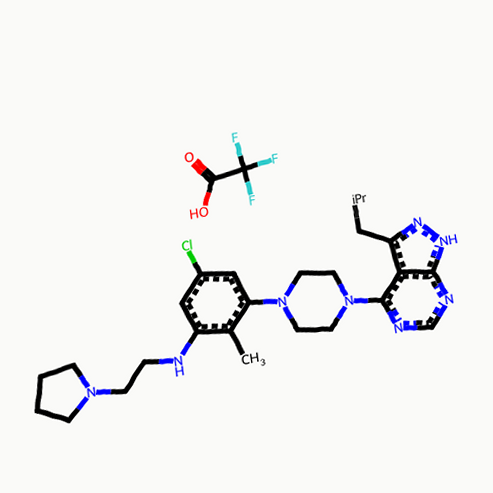 Cc1c(NCCN2CCCC2)cc(Cl)cc1N1CCN(c2ncnc3[nH]nc(CC(C)C)c23)CC1.O=C(O)C(F)(F)F